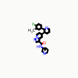 Cc1cc(-c2ncccc2-c2ccn3ncc(C(=O)NC4CN5CCC4CC5)c3c2)ccc1F